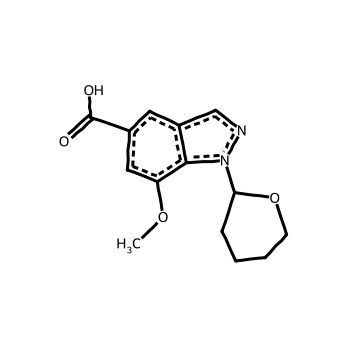 COc1cc(C(=O)O)cc2cnn(C3CCCCO3)c12